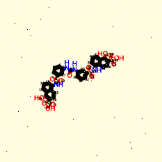 O=C(Nc1cccc(S(=O)(=O)Nc2cccc3c(O)c(S(=O)(=O)O)ccc23)c1)Nc1cccc(S(=O)(=O)Nc2cccc3c(O)c(S(=O)(=O)O)ccc23)c1